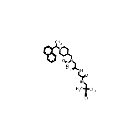 C#CC(C)(C)CNC(=O)CNC(=O)CN(CC1CCN(C(C)c2cccc3ccccc23)CC1)[SH](=O)=O